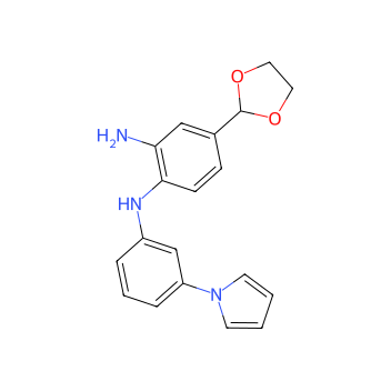 Nc1cc(C2OCCO2)ccc1Nc1cccc(-n2cccc2)c1